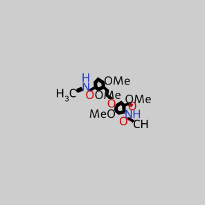 C#CC(=O)Nc1cc(OC)c(OCCCc2c(OC)ccc(C(=O)NC#CC)c2OC)cc1C(=O)OC